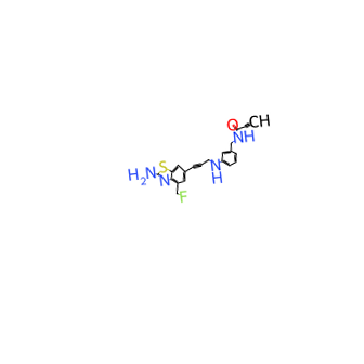 C#CC(=O)NCc1cccc(NCC#Cc2cc(CF)c3nc(N)sc3c2)c1